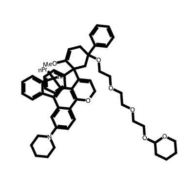 CCCC1(CCC)c2ccccc2-c2c1c1c(c3ccc(N4CCCCC4)cc23)OCC=C1C1(c2ccccc2)CC(OCCOCCOCCOC2CCCCO2)(c2ccccc2)CC=C1OC